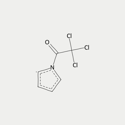 O=C(n1[c]ccc1)C(Cl)(Cl)Cl